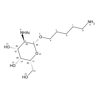 CC(=O)N[C@H]1[C@H](OCCCCCN)O[C@H](CO)[C@H](O)[C@@H]1O